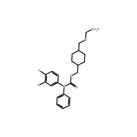 O=C(O)COCC1CCC(COC(=O)N(c2ccccc2)c2ccc(F)c(F)c2)CC1